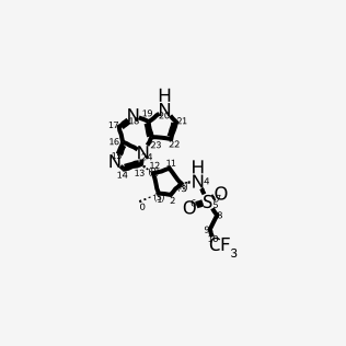 C[C@H]1C[C@@H](NS(=O)(=O)CCC(F)(F)F)C[C@H]1c1cnc2cnc3[nH]ccc3n12